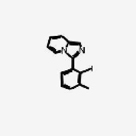 Cc1cccc(-c2ncc3ccccn23)c1I